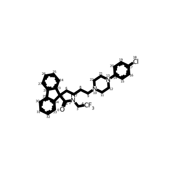 O=C(NCC(F)(F)F)C1(CCCCN2CCN(c3ccc(Cl)cc3)CC2)c2ccccc2-c2ccccc21